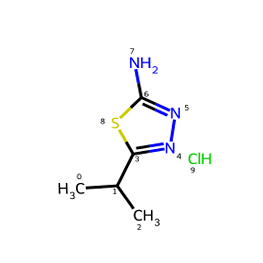 CC(C)c1nnc(N)s1.Cl